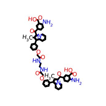 Cc1c(-c2cccc(OCC(=O)NCCNC(=O)COc3cccc(-c4c(C)c(C(=O)c5ccc(N)c(C(=O)O)c5)n5ccccc45)c3)c2)c2ccccn2c1C(=O)c1ccc(N)c(C(=O)O)c1